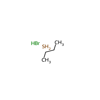 Br.CCCC.S